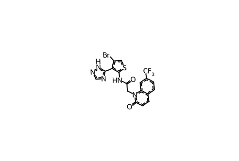 O=C(Cn1c(=O)ccc2ccc(C(F)(F)F)cc21)Nc1scc(Br)c1-c1ncn[nH]1